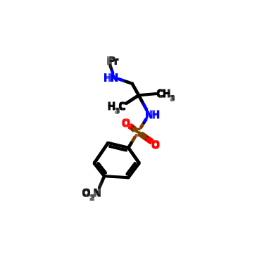 CC(C)NCC(C)(C)NS(=O)(=O)c1ccc([N+](=O)[O-])cc1